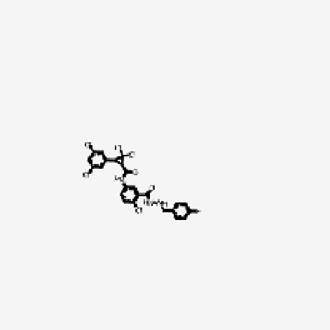 O=C(NNCc1ccc(F)cc1)c1cc(NC(=O)C2C(c3cc(Cl)cc(Cl)c3)C2(Cl)Cl)ccc1Cl